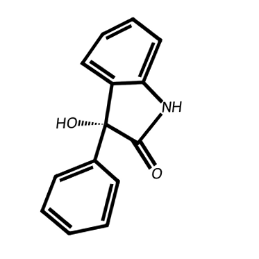 O=C1Nc2ccccc2[C@]1(O)c1ccccc1